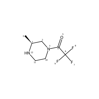 C[C@H]1CN(C(=O)C(F)(F)F)CCN1